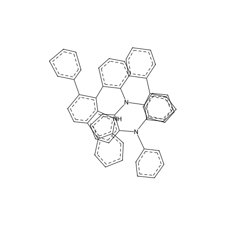 c1ccc(-c2ccccc2N(c2ccccc2-c2c(-c3ccccc3)ccc3c2[nH]c2ccccc23)c2ccccc2N(c2ccccc2)c2ccccc2)cc1